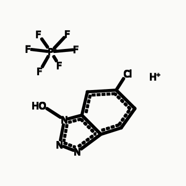 F[P-](F)(F)(F)(F)F.On1nnc2ccc(Cl)cc21.[H+]